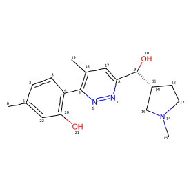 Cc1ccc(-c2nnc(C(O)[C@@H]3CCN(C)C3)cc2C)c(O)c1